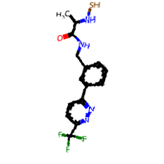 CC(NS)C(=O)NCc1cccc(-c2ccc(C(F)(F)F)nn2)c1